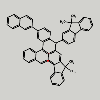 CC1(C)c2ccccc2-c2ccc(N(c3ccc4c(c3)C(C)(C)c3ccccc3-4)c3ccc(-c4ccc5ccccc5c4)cc3-c3cccc4ccccc34)cc21